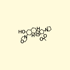 CC(=O)OC1C(N2CCCC2)C[C@H]2[C@@H]3CCC4CC(O)C(N5CCOCC5)C[C@]4(C)[C@H]3CC[C@]12C